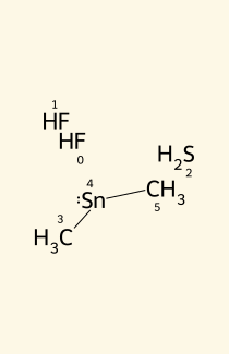 F.F.S.[CH3][Sn][CH3]